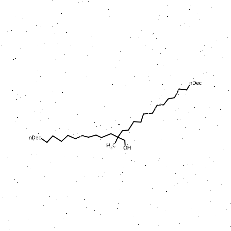 CCCCCCCCCCCCCCCCCCCCCCC(C)(CO)CCCCCCCCCCCCCCCCCCCC